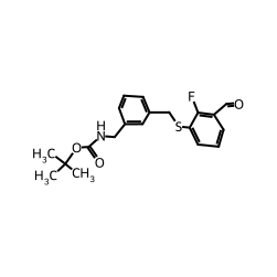 CC(C)(C)OC(=O)NCc1cccc(CSc2cccc(C=O)c2F)c1